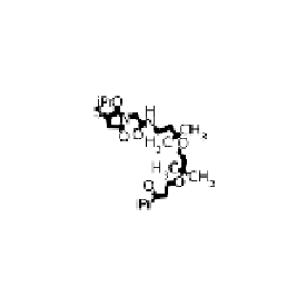 CC(C)SC1CC(=O)N(CC(=O)NCCC(C)(C)OCCC(C)(C)OCCC(=O)C(C)C)C1=O